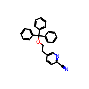 N#Cc1ccc(CCOC(c2ccccc2)(c2ccccc2)c2ccccc2)cn1